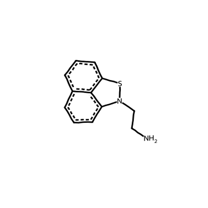 NCCN1Sc2cccc3cccc1c23